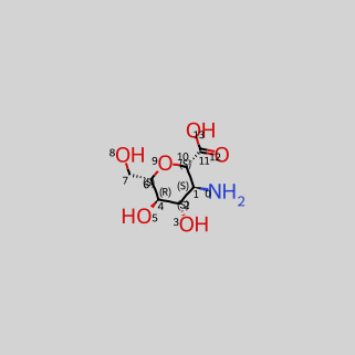 N[C@H]1[C@H](O)[C@@H](O)[C@H](CO)O[C@@H]1C(=O)O